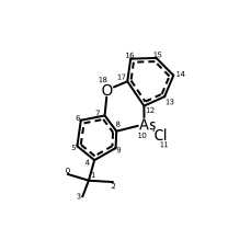 CC(C)(C)c1ccc2c(c1)[As](Cl)c1ccccc1O2